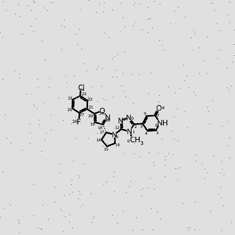 Cn1c(-c2cc[nH]c(=O)c2)nnc1N1CCC[C@@H]1c1cc(-c2cc(Cl)ccc2F)on1